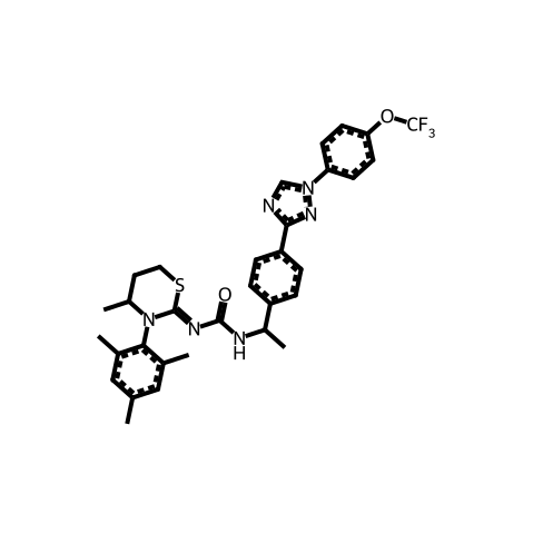 Cc1cc(C)c(N2/C(=N/C(=O)NC(C)c3ccc(-c4ncn(-c5ccc(OC(F)(F)F)cc5)n4)cc3)SCCC2C)c(C)c1